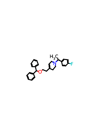 C[C](c1ccc(F)cc1)N1CC=C(CCOC(c2ccccc2)c2ccccc2)CC1